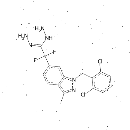 Cc1nn(Cc2c(Cl)cccc2Cl)c2cc(C(F)(F)/C(=N/N)NN)ccc12